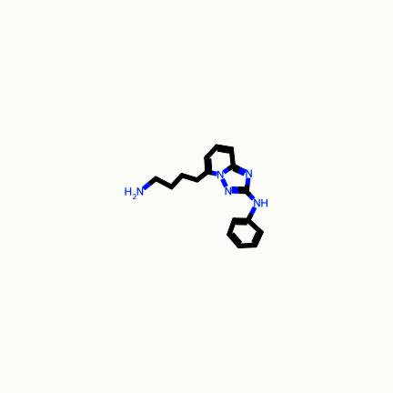 NCCCCc1cccc2nc(Nc3ccccc3)nn12